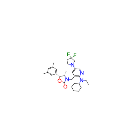 CCN(c1ncc(N2CCC(F)(F)C2)cc1CN1C(=O)O[C@H](c2cc(C)cc(C)c2)[C@@H]1C)C1CCCCC1